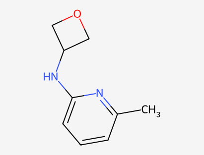 Cc1cccc(NC2COC2)n1